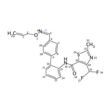 C=CCO/N=C\c1ccc(-c2ccccc2NC(=O)c2sc(C)nc2C(F)F)cc1